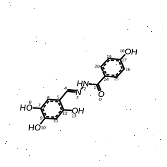 O=C(N/N=C/c1cc(O)c(O)cc1O)c1ccc(O)cc1